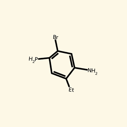 CCc1cc(P)c(Br)cc1N